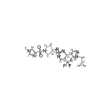 Cn1cnc(S(=O)(=O)N2CCC(Nc3ncc(C(F)(F)F)c(-c4cnn(CC5CC5)c4)n3)CC2)c1